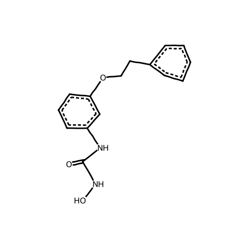 O=C(NO)Nc1cccc(OCCc2ccccc2)c1